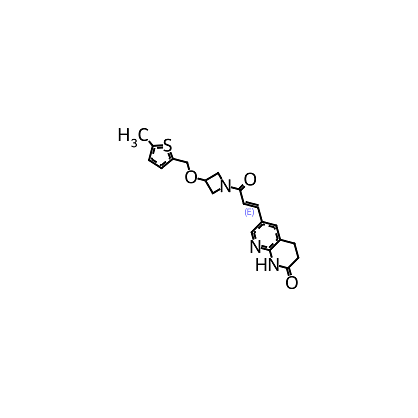 Cc1ccc(COC2CN(C(=O)/C=C/c3cnc4c(c3)CCC(=O)N4)C2)s1